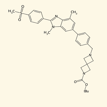 Cc1cc(-c2ccc(CN3CC4(C3)CN(C(=O)OC(C)(C)C)C4)cc2)cc2c1nc(-c1ccc(S(C)(=O)=O)cc1)n2C